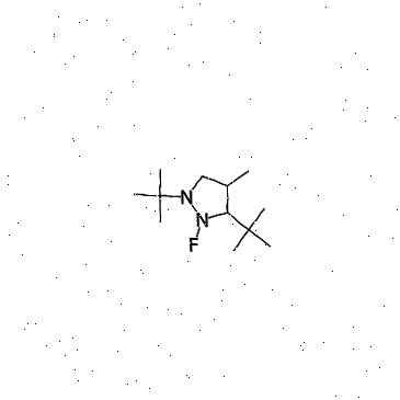 CC1CN(C(C)(C)C)N(F)C1C(C)(C)C